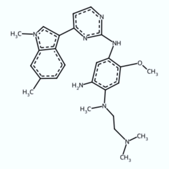 COc1cc(N(C)CCN(C)C)c(N)cc1Nc1nccc(-c2cn(C)c3cc(C)ccc23)n1